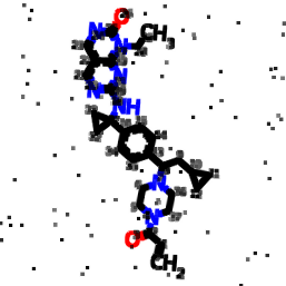 C=CC(=O)N1CCN(C(CC2CC2)c2ccc(C3(Nc4ncc5cnc(=O)n(CC)c5n4)CC3)cc2)CC1